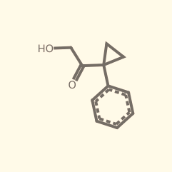 O=C(CO)C1(c2ccccc2)CC1